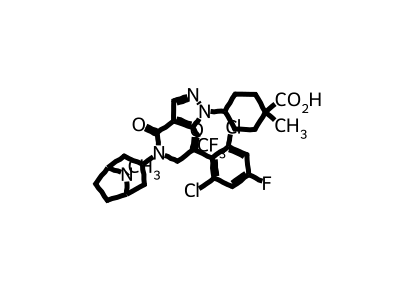 CN1C2CCC1CC(N(CC(=O)c1c(Cl)cc(F)cc1Cl)C(=O)c1cnn(C3CCC(C)(C(=O)O)CC3)c1C(F)(F)F)C2